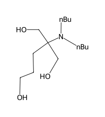 CCCCN(CCCC)C(CO)(CO)CCCO